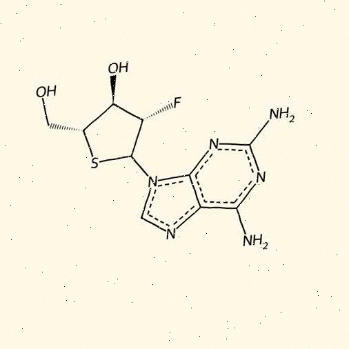 Nc1nc(N)c2ncn(C3S[C@H](CO)[C@@H](O)[C@@H]3F)c2n1